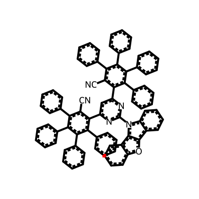 N#Cc1c(-c2ccccc2)c(-c2ccccc2)c(-c2ccccc2)c(-c2ccccc2)c1-c1cc(-c2c(C#N)c(-c3ccccc3)c(-c3ccccc3)c(-c3ccccc3)c2-c2ccccc2)nc(-n2c3ccccc3c3oc4ccccc4c32)n1